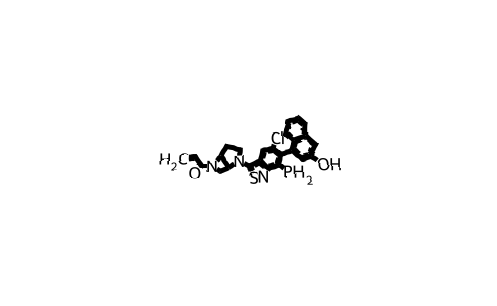 C=CC(=O)N1CC2C1CCN2c1snc2c(P)c(-c3cc(O)cc4ccccc34)c(Cl)cc12